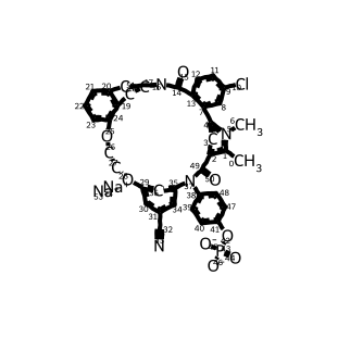 Cc1c2cc(n1C)-c1cc(Cl)ccc1C(=O)N1CCc3c(cccc3OCCOc3cc(C#N)cc(c3)N(c3ccc(OP(=O)([O-])[O-])cc3)C2=O)C1.[Na+].[Na+]